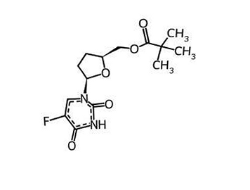 CC(C)(C)C(=O)OC[C@@H]1CC[C@H](n2cc(F)c(=O)[nH]c2=O)O1